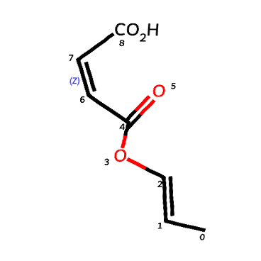 CC=COC(=O)/C=C\C(=O)O